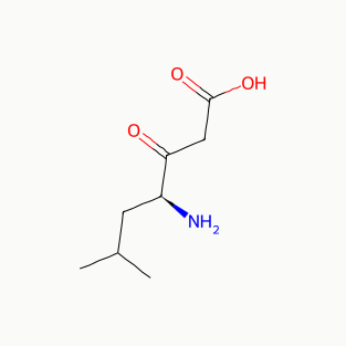 CC(C)C[C@H](N)C(=O)CC(=O)O